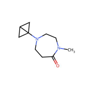 CN1CCN(C23CC2C3)CCC1=O